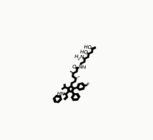 C=CC(Nc1ccccc1)C1=C(C(C)C)C(CC[C@@H](C)C[C@@H](C)CC(=O)NCC[C@@H](N)C[C@@H](O)CC(=C)O)C(c2ccc(F)cc2)=C1c1ccccc1